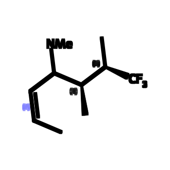 C/C=C\C(NC)[C@H](C)[C@@H](C)C(F)(F)F